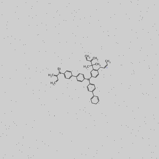 C=CC(=C)N(CC)c1ccc(-c2ccc(N(c3ccc(C4=CCCC=C4)cc3)c3ccc(C/C=C\C)c(C(C)(C)C(=C)C=C)c3)cc2)cc1